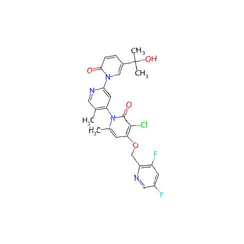 Cc1cnc(-n2cc(C(C)(C)O)ccc2=O)cc1-n1c(C)cc(OCc2ncc(F)cc2F)c(Cl)c1=O